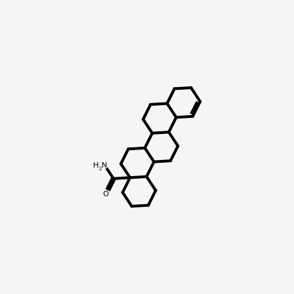 NC(=O)C12CCCCC1C1CCC3C4C=CCCC4CCC3C1CC2